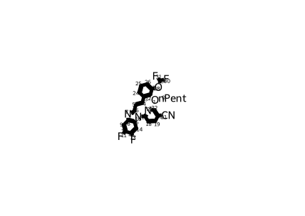 CCCCCOc1c(/C=C/c2nc3cc(F)c(F)cc3n2-c2ccc(C#N)cn2)cccc1OC(F)F